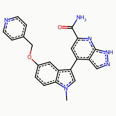 Cn1cc(-c2cc(C(N)=O)nc3[nH]ncc23)c2cc(OCc3ccncc3)ccc21